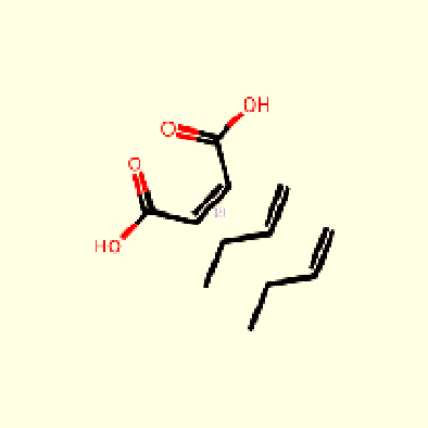 C=CCC.C=CCC.O=C(O)/C=C\C(=O)O